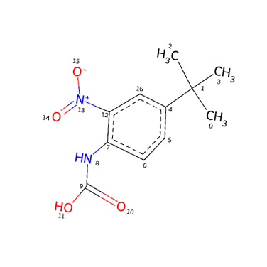 CC(C)(C)c1ccc(NC(=O)O)c([N+](=O)[O-])c1